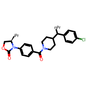 CCCC(c1ccc(Cl)cc1)C1CCN(C(=O)c2ccc(N3C(=O)OC[C@H]3C(C)C)cc2)CC1